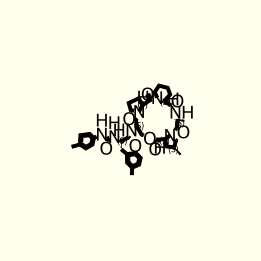 Cc1ccc(NC(=O)N[C@@H](Cc2cccc(C)c2)C(=O)N[C@H]2COC(=O)[C@@H]3C[C@H](C)CN3C(=O)[C@H](C)NC(=O)[C@@H]3CCCCN3C(=O)[C@@H]3CCCN3C2=O)cc1